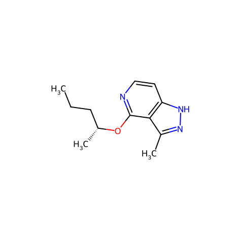 CCC[C@@H](C)Oc1nccc2[nH]nc(C)c12